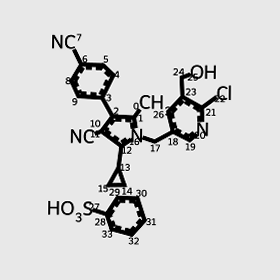 Cc1c(-c2ccc(C#N)cc2)c(C#N)c(C2CC2)n1Cc1cnc(Cl)c(CO)c1.O=S(=O)(O)c1ccccc1